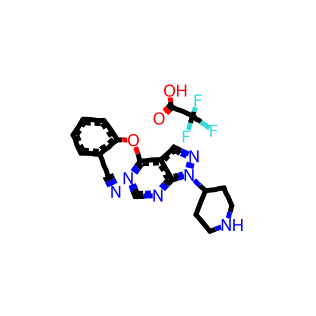 N#Cc1ccccc1Oc1ncnc2c1cnn2C1CCNCC1.O=C(O)C(F)(F)F